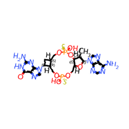 C[C@@H]1[C@@H]2OP(O)(=S)OC[C@H]3C[C@@H](n4cnc5c(=O)[nH]c(N)nc54)[C@@H]3COP(O)(=S)OC[C@H]2O[C@H]1n1cnc2c(N)ncnc21